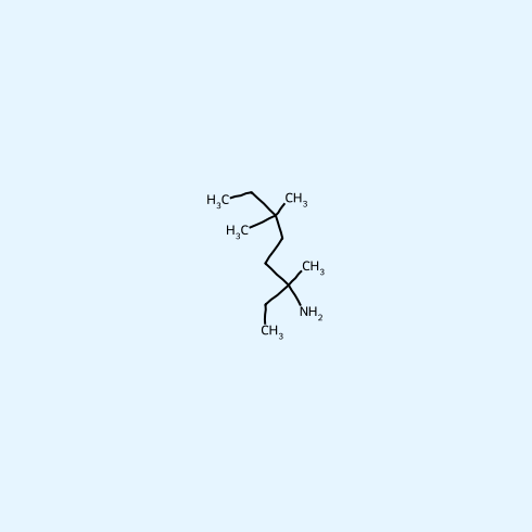 CCC(C)(C)CCC(C)(N)CC